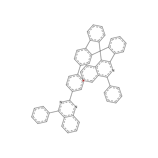 c1ccc(-c2nc(-c3ccc(-c4ccc5c(c4)C4(c6ccccc6-5)c5ccccc5-c5nc(-c6ccccc6)c6ccccc6c54)cc3)nc3ccccc23)cc1